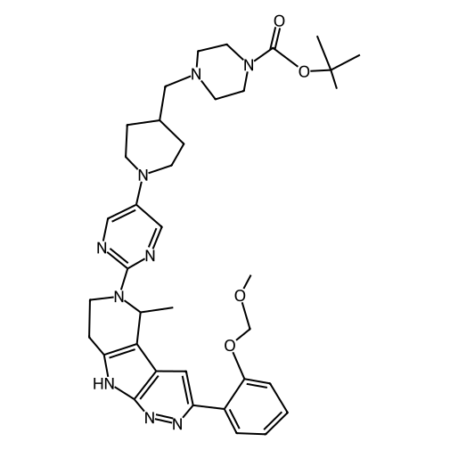 COCOc1ccccc1-c1cc2c3c([nH]c2nn1)CCN(c1ncc(N2CCC(CN4CCN(C(=O)OC(C)(C)C)CC4)CC2)cn1)C3C